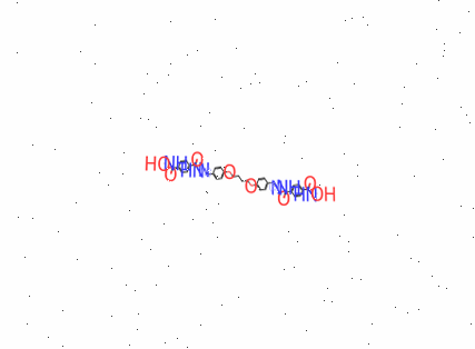 O=C(NO)c1ccc(C(=O)N/N=C/c2ccc(OCCCCOc3ccc(/C=N/NC(=O)c4ccc(C(=O)NO)cc4)cc3)cc2)cc1